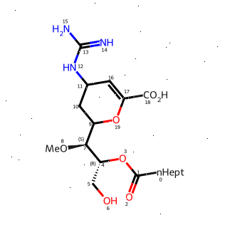 CCCCCCCC(=O)O[C@H](CO)[C@@H](OC)C1CC(NC(=N)N)C=C(C(=O)O)O1